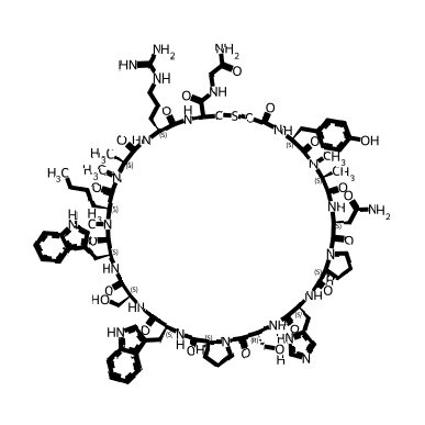 CCCC[C@H]1C(=O)N(C)[C@@H](C)C(=O)N[C@@H](CCCNC(=N)N)C(=O)NC(C(=O)NCC(N)=O)CSCC(=O)N[C@@H](Cc2ccc(O)cc2)C(=O)N(C)[C@@H](C)C(=O)N[C@@H](CC(N)=O)C(=O)N2CCC[C@H]2C(=O)N[C@@H](Cc2cnc[nH]2)C(=O)N[C@H](CO)C(=O)N2CCC[C@H]2C(=O)N[C@@H](Cc2c[nH]c3ccccc23)C(=O)N[C@@H](CO)C(=O)N[C@@H](Cc2c[nH]c3ccccc23)C(=O)N1C